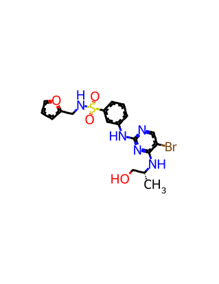 C[C@H](CO)Nc1nc(Nc2cccc(S(=O)(=O)NCc3ccco3)c2)ncc1Br